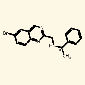 C[C@@H](NCc1ncc2cc(Br)ccc2n1)c1ccccc1